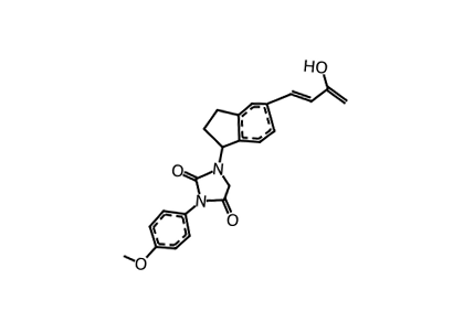 C=C(O)/C=C/c1ccc2c(c1)CCC2N1CC(=O)N(c2ccc(OC)cc2)C1=O